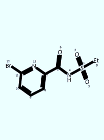 CCS(=O)(=O)NC(=O)c1cccc(Br)n1